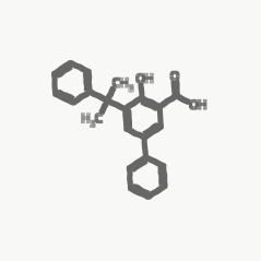 CC(C)(c1ccccc1)c1cc(-c2ccccc2)cc(C(=O)O)c1O